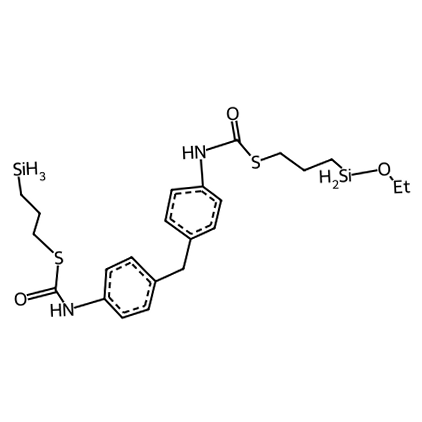 CCO[SiH2]CCCSC(=O)Nc1ccc(Cc2ccc(NC(=O)SCCC[SiH3])cc2)cc1